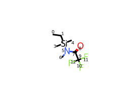 CC[Si](C)(C)N(C)C(=O)C(F)(F)F